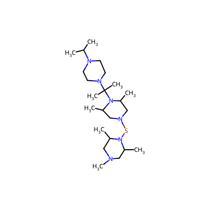 CC(C)N1CCN(C(C)(C)N2C(C)CN(SN3C(C)CN(C)CC3C)CC2C)CC1